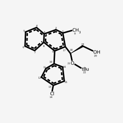 Cc1cc2ccccc2c(-c2ccc(Cl)cc2)c1[C@@H](CO)OC(C)(C)C